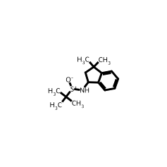 CC1(C)CC(N[S+]([O-])C(C)(C)C)c2ccccc21